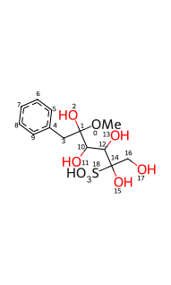 COC(O)(Cc1ccccc1)C(O)C(O)C(O)(CO)S(=O)(=O)O